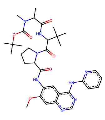 COc1cc2ncnc(Nc3ccccn3)c2cc1NC(=O)C1CCCN1C(=O)C(NC(=O)C(C)N(C)C(=O)OC(C)(C)C)C(C)(C)C